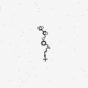 CN(C/C=C/C#CC(C)(C)C)Cc1cccc(OCc2cc(-c3cnco3)co2)c1